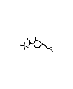 COCCN1CCN(C(=O)OC(C)(C)C)C(C)C1